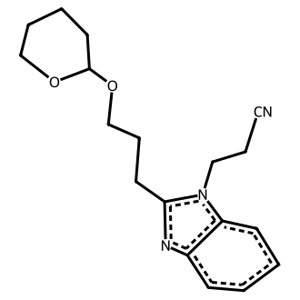 N#CCCn1c(CCCOC2CCCCO2)nc2ccccc21